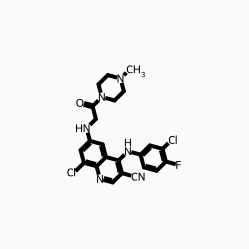 CN1CCN(C(=O)CNc2cc(Cl)c3ncc(C#N)c(Nc4ccc(F)c(Cl)c4)c3c2)CC1